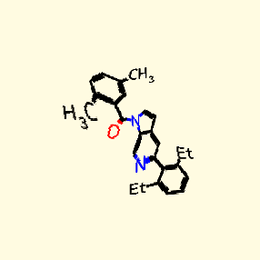 CCc1cccc(CC)c1-c1cc2ccn(C(=O)c3cc(C)ccc3C)c2cn1